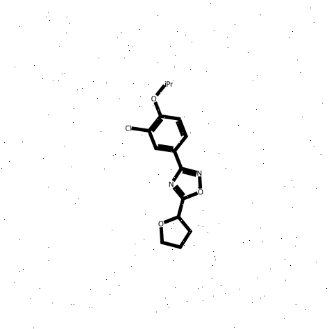 CC(C)Oc1ccc(-c2noc(C3CCCO3)n2)cc1Cl